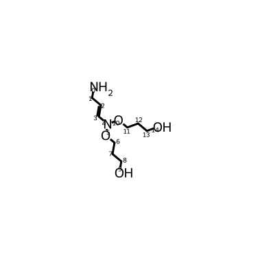 NCC=CN(OCCCO)OCCCO